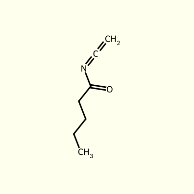 C=C=NC(=O)CCCC